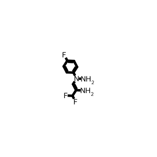 N/C(=C\N(N)c1ccc(F)cc1)C(F)F